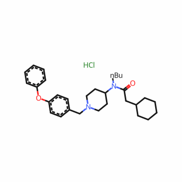 CCCCN(C(=O)CC1CCCCC1)C1CCN(Cc2ccc(Oc3ccccc3)cc2)CC1.Cl